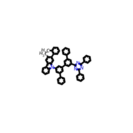 Cc1ccccc1-c1cc2c(cc1C)c1ccccc1n2-c1cc(-c2ccccc2)cc(-c2cc(-c3ccccc3)cc(-c3nc(-c4ccccc4)nc(-c4ccccc4)n3)c2)c1